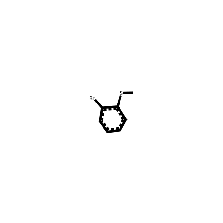 CSc1[c]cccc1Br